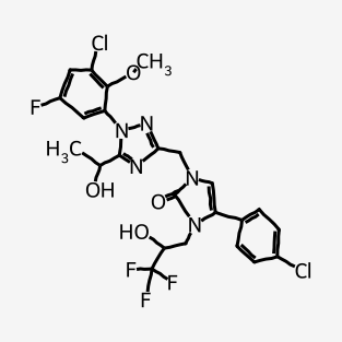 COc1c(Cl)cc(F)cc1-n1nc(Cn2cc(-c3ccc(Cl)cc3)n(CC(O)C(F)(F)F)c2=O)nc1C(C)O